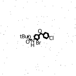 CC(C)(C)OC(=O)Nc1ccc(C(=O)c2ccc(Cl)cc2)cc1Br